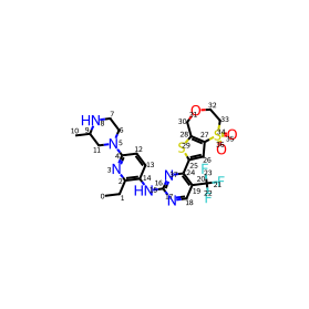 CCc1nc(N2CCNC(C)C2)ccc1Nc1ncc(C(F)(F)F)c(-c2cc3c(s2)COCCS3(=O)=O)n1